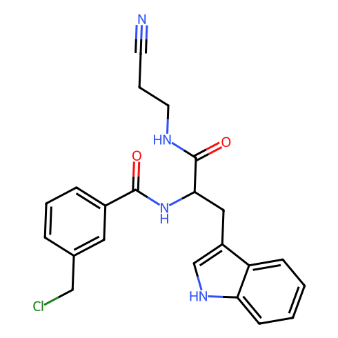 N#CCCNC(=O)C(Cc1c[nH]c2ccccc12)NC(=O)c1cccc(CCl)c1